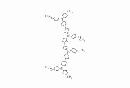 COc1ccc(N(c2ccc(C)cc2)c2ccc(-c3ccc(N(c4ccc(C)cc4)c4ccc(-c5ccc(N(c6ccc(OC)cc6)c6ccc(-c7ccc(N(c8ccc(C)cc8)c8ccc(OC)cc8)cc7)cc6)s5)s4)cc3)cc2)cc1